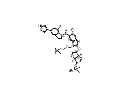 CC(C)(C)[Si](C)(C)O[C@@H]1CO[C@H]2[C@@H]1OC[C@H]2Oc1nc2cc(Cl)c(N[C@H]3CCc4cc(-c5cn[nH]c5)cc(F)c43)nc2n1COCC[Si](C)(C)C